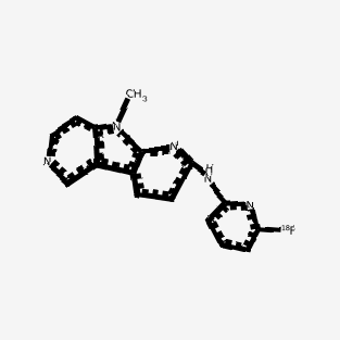 Cn1c2ccncc2c2ccc(Nc3cccc([18F])n3)nc21